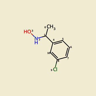 CC(NO)c1cccc(Cl)c1